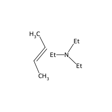 CC=CC.CCN(CC)CC